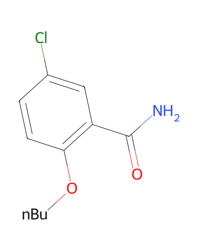 CCCCOc1ccc(Cl)cc1C(N)=O